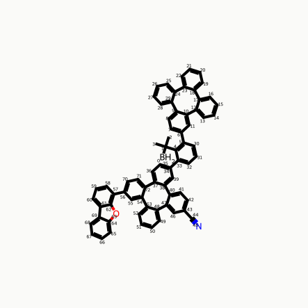 BC(C)(C)c1c(-c2ccc3c(c2)-c2ccccc2-c2ccccc2-c2ccccc2-3)cccc1-c1ccc2c(c1)-c1ccc(C#N)cc1-c1ccccc1-c1cc(-c3cccc4c3oc3ccccc34)ccc1-2